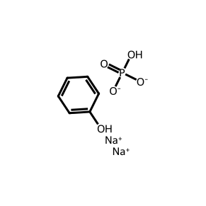 O=P([O-])([O-])O.Oc1ccccc1.[Na+].[Na+]